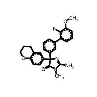 COc1cccc(-c2cccc(C3(c4ccc5c(c4)CCCO5)N=C(N)N(C)C3=O)c2)c1F